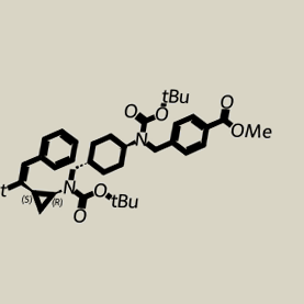 CCC(=Cc1ccccc1)[C@@H]1C[C@H]1N(C[C@H]1CC[C@H](N(Cc2ccc(C(=O)OC)cc2)C(=O)OC(C)(C)C)CC1)C(=O)OC(C)(C)C